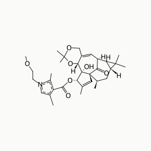 COCCn1cc(C)c(C(=O)O[C@H]2C(C)=C[C@]34C(=O)[C@@H](C=C5COC(C)(C)O[C@H]5[C@]23O)[C@H]2[C@@H](C[C@H]4C)C2(C)C)c1C